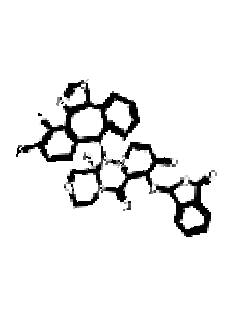 O=C1OC(Oc2c3n(ccc2=O)N([C@@H]2c4ccccc4-c4scnc4-c4c2ccc(F)c4F)[C@@H]2COCCN2C3=O)c2ccccc21